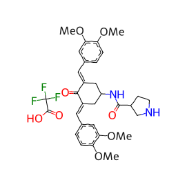 COc1ccc(/C=C2\CC(NC(=O)C3CCNC3)C/C(=C\c3ccc(OC)c(OC)c3)C2=O)cc1OC.O=C(O)C(F)(F)F